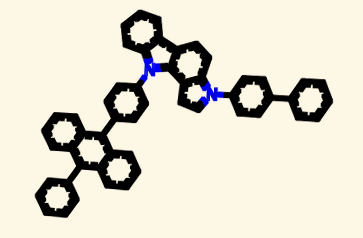 c1ccc(-c2ccc(-n3ccc4c3ccc3c5ccccc5n(-c5ccc(-c6c7ccccc7c(-c7ccccc7)c7ccccc67)cc5)c34)cc2)cc1